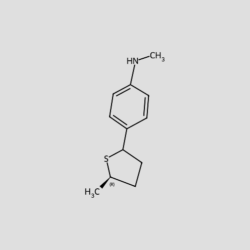 CNc1ccc(C2CC[C@@H](C)S2)cc1